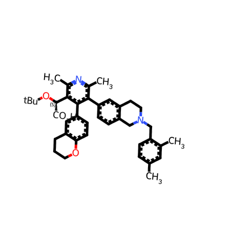 Cc1ccc(CN2CCc3cc(-c4c(C)nc(C)c([C@H](OC(C)(C)C)C(=O)O)c4-c4ccc5c(c4)CCCO5)ccc3C2)c(C)c1